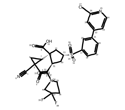 N#CC1(C(N)=O)CC1[C@]1(C(=O)O)C[C@H](S(=O)(=O)c2cccc(-c3ccnc(Cl)c3)c2)C[C@H]1C(=O)N1CCC(F)(F)C1